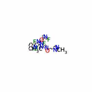 Cc1nccc(/C=C/C(=O)N2C[C@@H](F)[C@H](N(C)c3nc(OC[C@@]45CCCN4C[C@H](F)C5)nc4c(F)c(-c5cccc6cccc(Cl)c56)ncc34)C2)n1